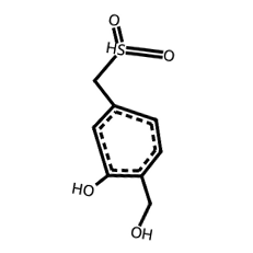 O=[SH](=O)Cc1ccc(CO)c(O)c1